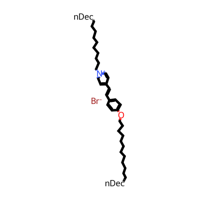 CCCCCCCCCCCCCCCCCCCCCCOc1ccc(C=Cc2cc[n+](CCCCCCCCCCCCCCCCCCCC)cc2)cc1.[Br-]